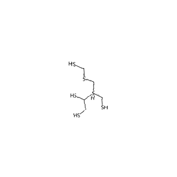 SCSC[SH](CS)C(S)CS